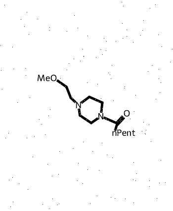 CCCCCC(=O)N1CCN(CCOC)CC1